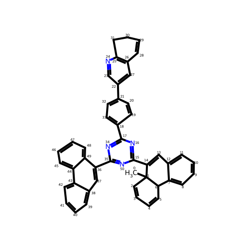 CC12C=CC=CC1c1ccccc1C=C2c1nc(-c2ccc(-c3cnc4c(c3)C=CCC4)cc2)nc(-c2cc3ccccc3c3ccccc23)n1